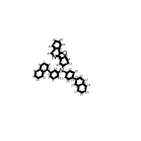 c1cc(-c2cccc3ccccc23)cc(N(c2ccc(-c3ccc4ccccc4c3)cc2)c2ccc3oc4c5ccccc5cnc4c3c2)c1